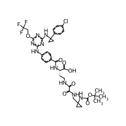 CC(C)(C)OC(=O)NC1(CNC(=O)C(=O)NCC[C@H](NC(=O)c2ccc(Nc3nc(NC4(c5ccc(Cl)cc5)CC4)nc(OCC(F)(F)F)n3)cc2)C(=O)O)CC1